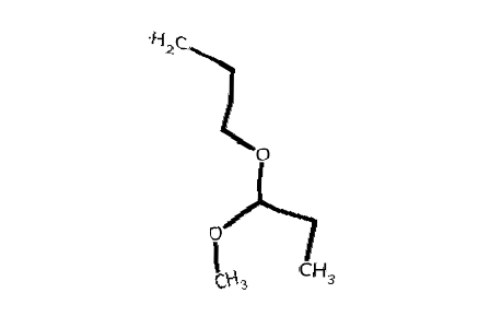 [CH2]CCOC(CC)OC